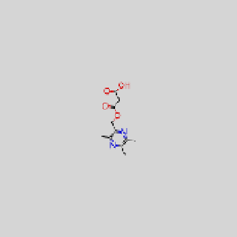 Cc1nc(C)c(COC(=O)CC(=O)O)nc1C